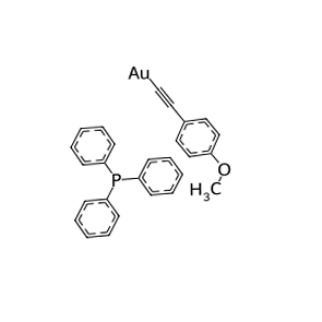 COc1ccc(C#[C][Au])cc1.c1ccc(P(c2ccccc2)c2ccccc2)cc1